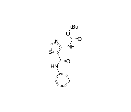 CC(C)(C)OC(=O)Nc1ncsc1C(=O)Nc1ccccc1